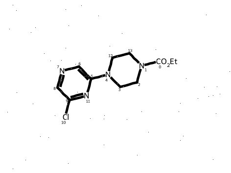 CCOC(=O)N1CCN(c2cncc(Cl)n2)CC1